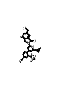 Cn1cnnc1-c1cc(C#N)ccc1-c1cc(C2CC2)nc(N2Cc3c(F)cc(CCl)cc3C2=O)c1